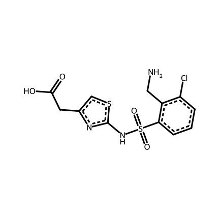 NCc1c(Cl)cccc1S(=O)(=O)Nc1nc(CC(=O)O)cs1